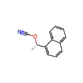 C[C@H](OC#N)c1cccc2ccccc12